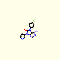 Nc1ncnc2c1n(-c1ccc(Cl)cc1)c(=O)n2-c1cccnc1